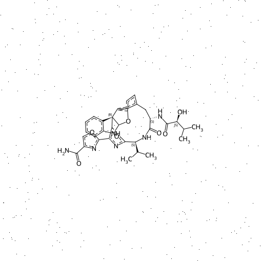 CC(C)[C@H](O)C(=O)N[C@H]1Cc2ccc3c(c2)[C@@]2(c4ccccc4NC2O3)c2oc(nc2-c2nc(C(N)=O)co2)[C@H](C(C)C)NC1=O